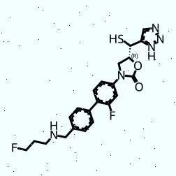 O=C1O[C@@H](C(S)c2cnn[nH]2)CN1c1ccc(-c2ccc(CNCCCF)cc2)c(F)c1